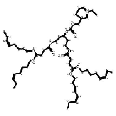 CC/C=C\CCCCOC(CCC(=O)OCCC(CCOC(=O)CCC(OCCCC/C=C\CC)OCCCC/C=C\CC)OC(=O)OCC1CCCN(CC)C1)OCCCC/C=C\CC